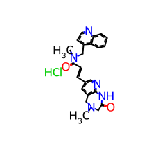 CN1CC(=O)Nc2ncc(/C=C/C(=O)N(C)Cc3ccnc4ccccc34)cc2C1.Cl